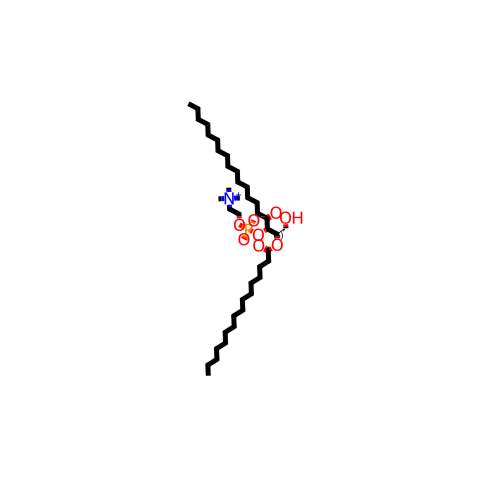 CCCCCCCCCCCCCCCC(=O)O[C@@H](CO)C(OP(=O)([O-])OCC[N+](C)(C)C)C(=O)CCCCCCCCCCCCCCC